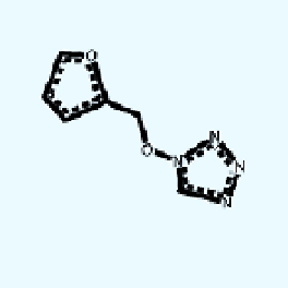 [c]1nnnn1OCc1ccco1